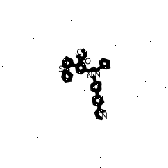 c1ccc(-c2cc(-c3ccc(-c4cccc5sc6ccccc6c45)c4c3oc3ccccc34)nc(-c3ccc(-c4ccc(-c5cccnc5)cc4)cc3)n2)cc1